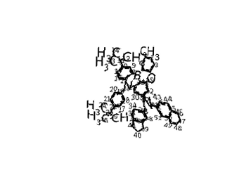 Cc1ccc2c(c1)B1c3cc(C(C)(C)C)ccc3N(c3ccc(C(C)(C)C)cc3)c3cc(N(c4ccc5c(c4)CCC5)c4ccc5ccccc5c4)cc(c31)O2